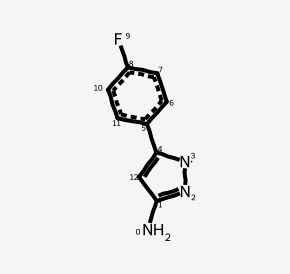 NC1=N[N]C(c2ccc(F)cc2)=C1